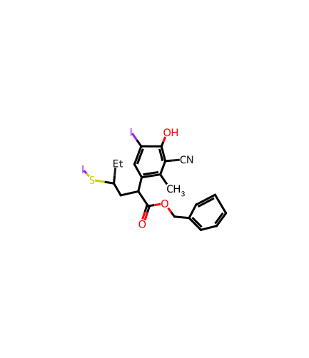 CCC(CC(C(=O)OCc1ccccc1)c1cc(I)c(O)c(C#N)c1C)SI